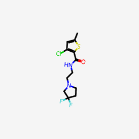 Cc1cc(Cl)c(C(=O)NCCN2CCC(F)(F)C2)s1